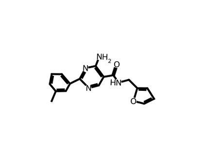 Cc1cccc(-c2ncc(C(=O)NCc3ccco3)c(N)n2)c1